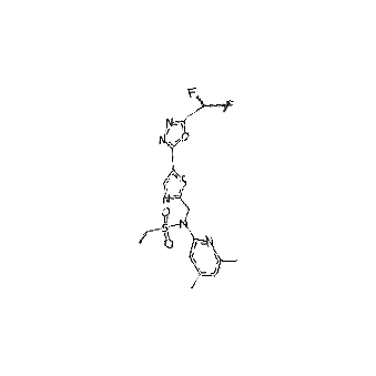 CCS(=O)(=O)N(Cc1ncc(-c2nnc(C(F)F)o2)s1)c1cc(C)cc(C)n1